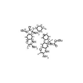 CC1=C(N)Nc2cc(C(C)(NC(=O)OC(C)(C)C)c3ccncc3)ccc2O1.CC1=C(N)Nc2cc(C(N)(Cc3ccc(C)cc3)C(=O)OC(C)(C)C)ccc2O1